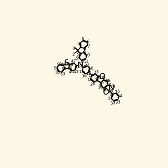 CC1(C)c2ccccc2-c2ccc(N(c3ccc(-c4ccc5c(c4)oc4cc6nc(-c7ccccc7)oc6cc45)cc3)c3ccc4c(c3)sc3ccccc34)cc21